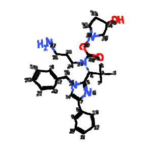 CC(C)(C)[C@H](c1nc(-c2ccccc2)cn1Cc1ccccc1)N(CCCN)C(=O)ON1CC[C@@H](O)C1